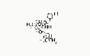 CC1(C)O[C@H]2O[C@H]([C@H]3COC(C)(C)O3)[C@@H](NC(=O)Cc3cccc(Cl)c3)[C@H]2O1